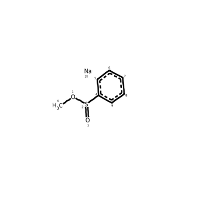 COS(=O)c1ccccc1.[Na]